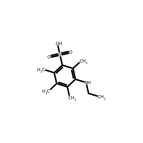 CCNc1c(C)c(C)c(C)c(S(=O)(=O)O)c1C